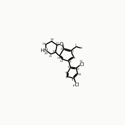 CCc1cc(-c2ccc(Cl)cc2Cl)cc2c1OC1CCNCC21